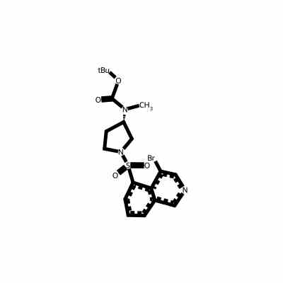 CN(C(=O)OC(C)(C)C)[C@H]1CCN(S(=O)(=O)c2cccc3cncc(Br)c23)C1